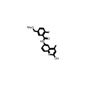 COCc1ccc(F)c(C(=O)Nc2ccc3nc(O)cc(C)c3c2)c1